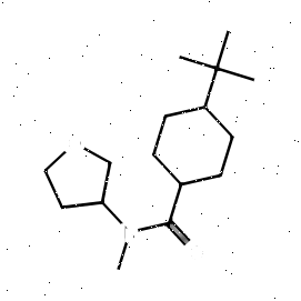 CN(C(=O)C1CCC(C(C)(C)C)CC1)C1CCOC1